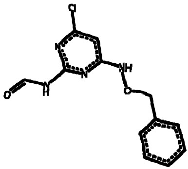 O=CNc1nc(Cl)cc(NOCc2ccccc2)n1